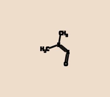 CS(C)=S=O